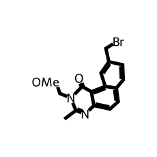 COCn1c(C)nc2ccc3ccc(CBr)cc3c2c1=O